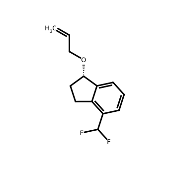 C=CCO[C@H]1CCc2c(C(F)F)cccc21